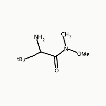 CON(C)C(=O)C(N)C(C)(C)C